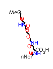 CCCCCCCCCC(=O)N[C@@H](CCC(=O)NCCOCCOCC(=O)NCCOCCOC)C(=O)O